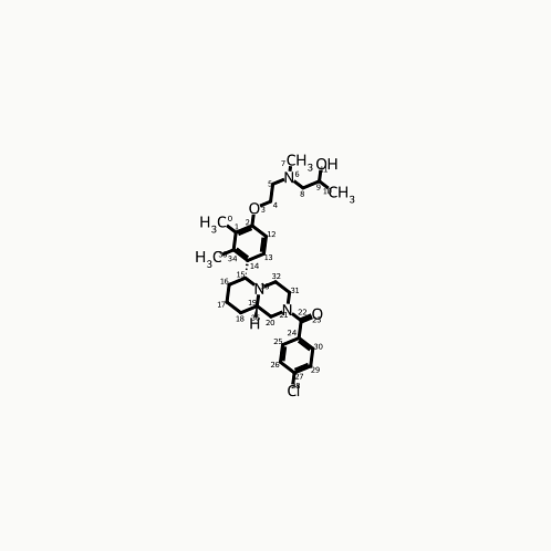 Cc1c(OCCN(C)CC(C)O)ccc([C@H]2CCC[C@H]3CN(C(=O)c4ccc(Cl)cc4)CCN32)c1C